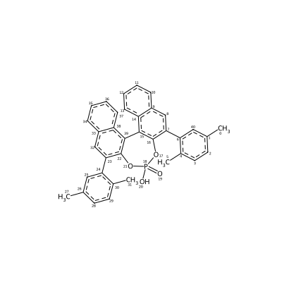 Cc1ccc(C)c(-c2cc3ccccc3c3c2OP(=O)(O)Oc2c(-c4cc(C)ccc4C)cc4ccccc4c2-3)c1